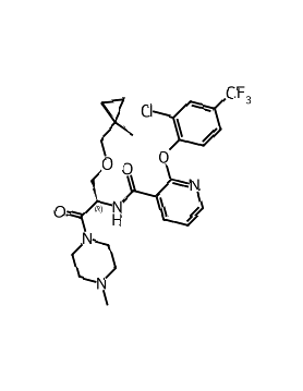 CN1CCN(C(=O)[C@@H](COCC2(C)CC2)NC(=O)c2cccnc2Oc2ccc(C(F)(F)F)cc2Cl)CC1